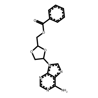 Nc1ncnc2c1ncn2C1COC(COC(=O)c2ccccc2)O1